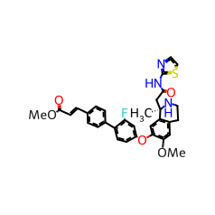 COC(=O)/C=C/c1ccc(-c2ccc(Oc3cc4c(cc3OC)CCN[C@]4(C)CC(=O)Nc3nccs3)cc2F)cc1